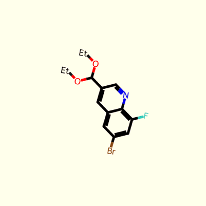 CCOC(OCC)c1cnc2c(F)cc(Br)cc2c1